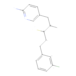 Nc1ccc(CC(C(=O)O)C(S)CCc2cccc(Cl)c2)cn1